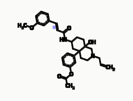 C=CCN1CCC2(c3cccc(OC(C)=O)c3)CC(NC(=O)/C=C/c3cccc(OC)c3)CCC2(O)C1